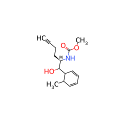 C#CCC[C@@H](NC(=O)OC)C(O)C1C=CC=CC1C